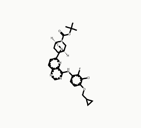 CC(C)(C)OC(=O)N1C[C@H]2CC[C@@H]1CN2c1ccc2ncnc(Nc3ccc(OCC4CC4)c(Cl)c3F)c2n1